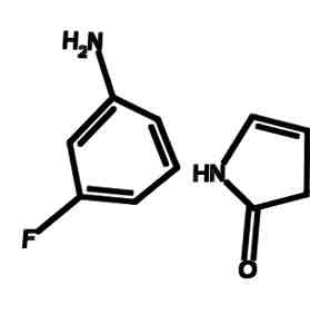 Nc1cccc(F)c1.O=C1CC=CN1